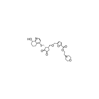 O=C1C[C@H](COCc2ccc(C(=O)OCCN3CCOCC3)o2)[C@@H](CSc2ccnc3c2CCCC3O)C1=O